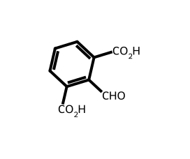 O=Cc1c(C(=O)O)cccc1C(=O)O